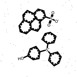 O=S(=O)([O-])c1ccc2ccc3cccc4ccc1c2c34.Oc1ccc([S+](c2ccccc2)c2ccccc2)cc1